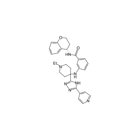 CCN1CCC(Nc2cccc(C(=O)N[C@H]3CCOc4ccccc43)c2)(c2nnc(-c3ccncc3)[nH]2)CC1